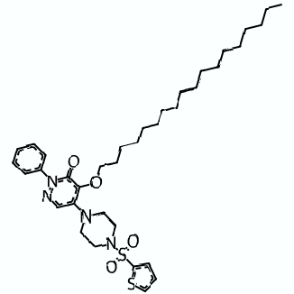 CCCCCCCCCCCCCCCCCCOc1c(N2CCN(S(=O)(=O)c3cccs3)CC2)cnn(-c2ccccc2)c1=O